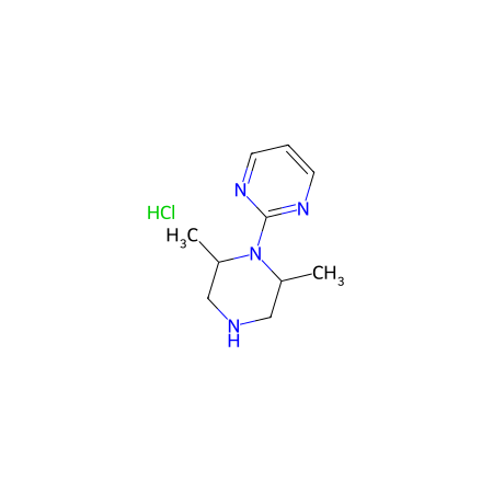 CC1CNCC(C)N1c1ncccn1.Cl